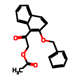 CC(=O)OCC(=O)c1c(OCc2ccccc2)ccc2ccccc12